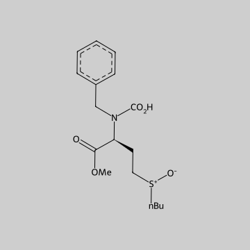 CCCC[S+]([O-])CC[C@@H](C(=O)OC)N(Cc1ccccc1)C(=O)O